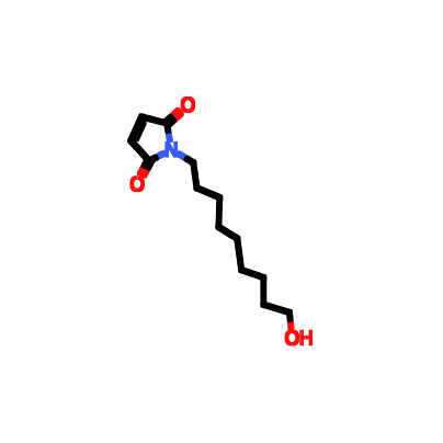 O=C1C=CC(=O)N1CCCCCCCCCO